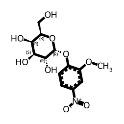 COc1cc([N+](=O)[O-])ccc1O[C@H]1O[C@H](CO)[C@H](O)[C@H](O)[C@H]1O